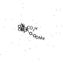 COc1ccc(-c2ccc(CC[C@@H](O)[C@H](CCn3nnc4cccc(C)c4c3=O)C(=O)O)cc2)cc1